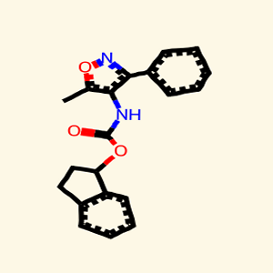 Cc1onc(-c2ccccc2)c1NC(=O)OC1CCc2ccccc21